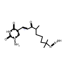 CC(CCCC(C)(C)N=[N+]=N)C(=O)/C=C/c1cn(N)c(=O)[nH]c1=O